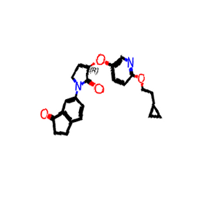 O=C1CCc2ccc(N3CC[C@@H](Oc4ccc(OCCC5CC5)nc4)C3=O)cc21